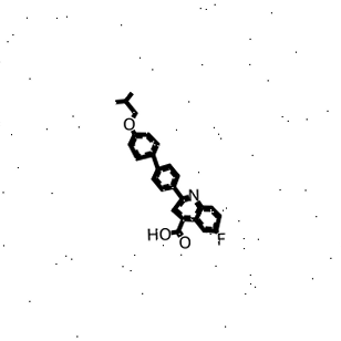 CC(C)COc1ccc(-c2ccc(-c3cc(C(=O)O)c4cc(F)ccc4n3)cc2)cc1